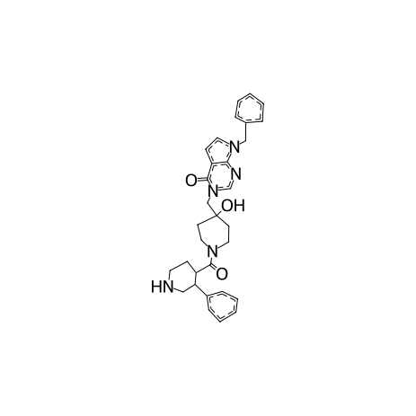 O=C(C1CCNCC1c1ccccc1)N1CCC(O)(Cn2cnc3c(ccn3Cc3ccccc3)c2=O)CC1